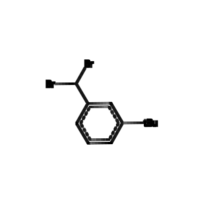 CC(C)(C)c1cccc(C(Br)Br)c1